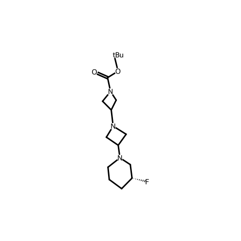 CC(C)(C)OC(=O)N1CC(N2CC(N3CCC[C@@H](F)C3)C2)C1